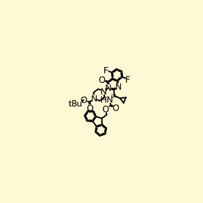 CC(C)(C)OC(=O)N1CCN(n2c([C@@H](NC(=O)OCC3c4ccccc4-c4ccccc43)C3CC3)nc3c(F)ccc(F)c3c2=O)CC1